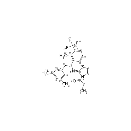 CCC(=O)N1CCSC1=NC(Cc1cc(C)cc(C)c1)c1cccc(C(F)(F)F)c1C